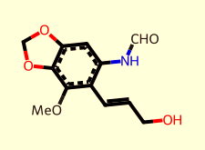 COc1c(/C=C/CO)c(NC=O)cc2c1OCO2